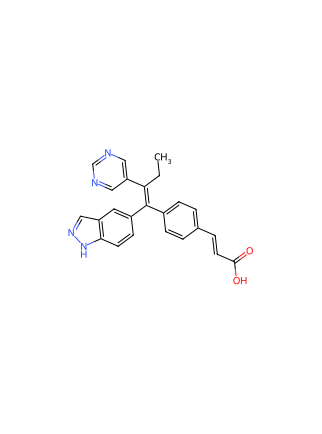 CCC(=C(c1ccc(C=CC(=O)O)cc1)c1ccc2[nH]ncc2c1)c1cncnc1